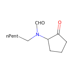 CCCCCCN(C=O)C1CCCC1=O